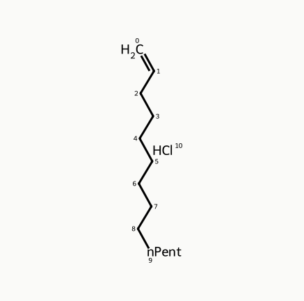 C=CCCCCCCCCCCCC.Cl